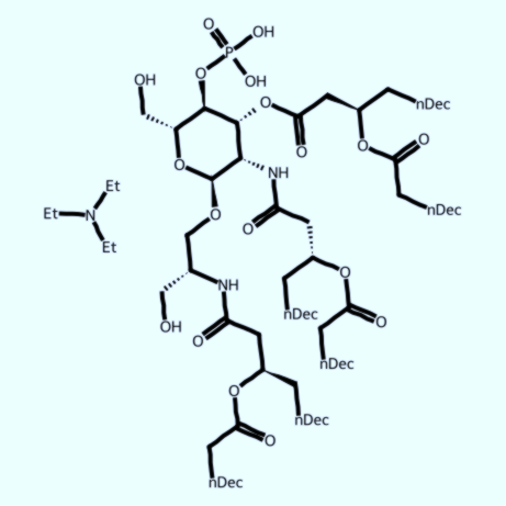 CCCCCCCCCCCC(=O)O[C@H](CCCCCCCCCCC)CC(=O)N[C@H](CO)CO[C@H]1O[C@H](CO)[C@@H](OP(=O)(O)O)[C@H](OC(=O)C[C@@H](CCCCCCCCCCC)OC(=O)CCCCCCCCCCC)[C@@H]1NC(=O)C[C@@H](CCCCCCCCCCC)OC(=O)CCCCCCCCCCC.CCN(CC)CC